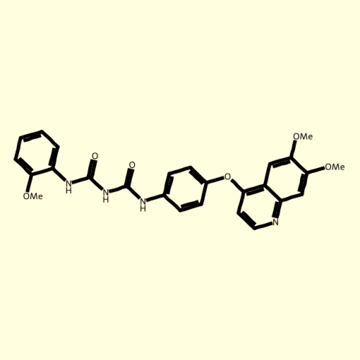 COc1ccccc1NC(=O)NC(=O)Nc1ccc(Oc2ccnc3cc(OC)c(OC)cc23)cc1